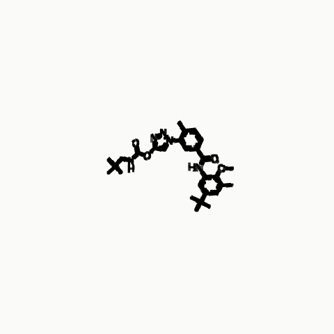 COc1c(C)cc(C(C)(C)C)cc1NC(=O)c1ccc(C)c(-n2cc(OC(=O)NCC(C)(C)C)nn2)c1